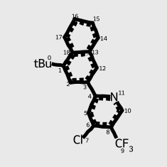 CC(C)(C)c1cc(-c2cc(Cl)c(C(F)(F)F)cn2)cc2ccccc12